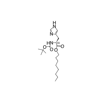 CCCCCCCCOC(=O)[C@H](Cc1c[nH]cn1)NC(=O)OC(C)(C)C